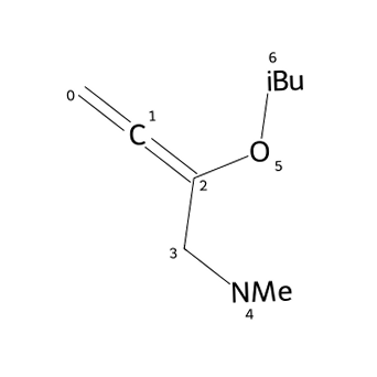 C=C=C(CNC)OC(C)CC